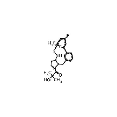 CCSNC1CCN(C(=O)C(C)(C)O)C1Cc1cccc(-c2cccc(F)c2)c1